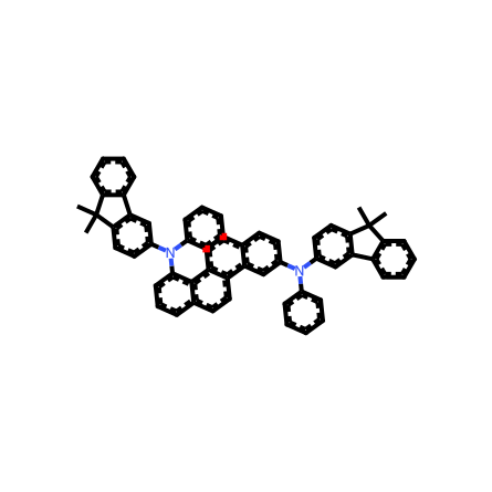 CC1(C)c2ccccc2-c2cc(N(c3ccccc3)c3ccc4ccc5c(ccc6cccc(N(c7ccccc7)c7ccc8c(c7)-c7ccccc7C8(C)C)c65)c4c3)ccc21